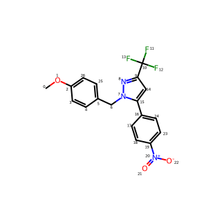 COc1ccc(Cn2nc(C(F)(F)F)cc2-c2ccc([N+](=O)[O-])cc2)cc1